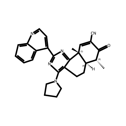 C[C@H]1C(=O)C(C#N)=C[C@@]2(C)c3nc(-c4ccnc5ccccc45)nc(N4CCCC4)c3CC[C@H]12